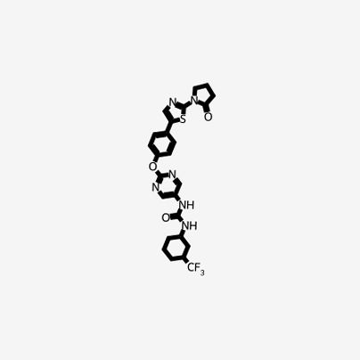 O=C(Nc1cnc(Oc2ccc(-c3cnc(N4CCCC4=O)s3)cc2)nc1)NC1CCCC(C(F)(F)F)C1